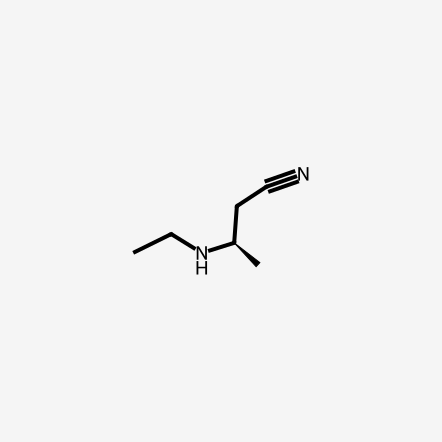 CCN[C@H](C)CC#N